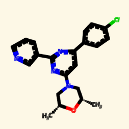 C[C@@H]1CN(c2cc(-c3ccc(Cl)cc3)nc(-c3cccnc3)n2)C[C@H](C)O1